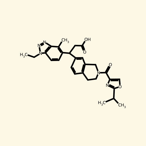 CCn1nnc2c(C)c(C(CC(=O)O)c3ccc4c(c3)CN(C(=O)c3coc(C(C)C)n3)CC4)ccc21